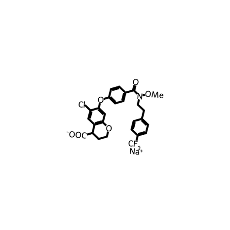 CON(CCc1ccc(C(F)(F)F)cc1)C(=O)c1ccc(Oc2cc3c(cc2Cl)C(C(=O)[O-])CCO3)cc1.[Na+]